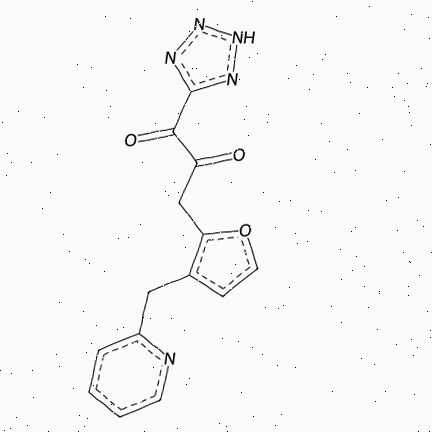 O=C(Cc1occc1Cc1ccccn1)C(=O)c1nn[nH]n1